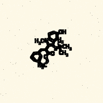 CCOC(=O)C(Cc1cccc(Br)c1)c1c(SC(C)(C)C)c2cc(O)ccc2n1C